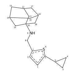 c1cc(C2CC2)sc1CNC12CC3CC(CC(C3)C1)C2